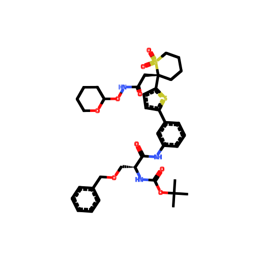 CC(C)(C)OC(=O)N[C@H](COCc1ccccc1)C(=O)Nc1cccc(-c2ccc([C@@]3(CC(=O)NOC4CCCCO4)CCCCS3(=O)=O)s2)c1